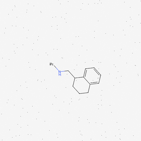 CC(C)NCC1CCCc2ccccc21